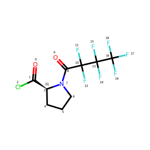 O=C(Cl)[C@@H]1CCCN1C(=O)C(F)(F)C(F)(F)C(F)(F)F